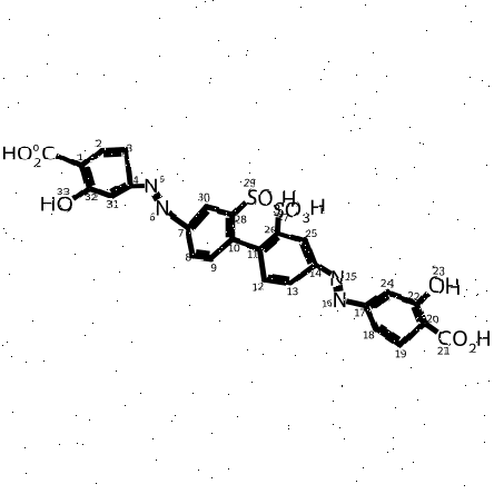 O=C(O)c1ccc(/N=N/c2ccc(-c3ccc(/N=N/c4ccc(C(=O)O)c(O)c4)cc3S(=O)(=O)O)c(S(=O)(=O)O)c2)cc1O